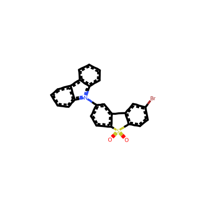 O=S1(=O)c2ccc(Br)cc2-c2cc(-n3c4ccccc4c4ccccc43)ccc21